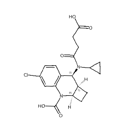 O=C(O)CCC(=O)N(C1CC1)[C@@H]1c2ccc(Cl)cc2N(C(=O)O)[C@@H]2CC[C@@H]21